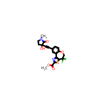 COC(=O)c1nc2c(s1)C(F)(F)COc1ccc(C#CC3(O)CCN(C)C3=O)cc1-2